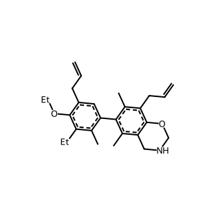 C=CCc1cc(-c2c(C)c(CC=C)c3c(c2C)CNCO3)c(C)c(CC)c1OCC